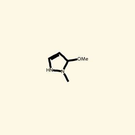 COC1C=CNN1C